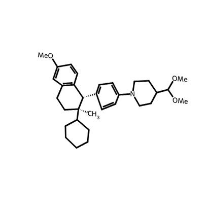 COc1ccc2c(c1)CC[C@](C)(C1CCCCC1)[C@H]2c1ccc(N2CCC(C(OC)OC)CC2)cc1